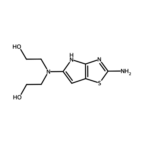 Nc1nc2[nH]c(N(CCO)CCO)cc2s1